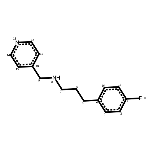 Fc1ccc(CCCNCc2ccncc2)cc1